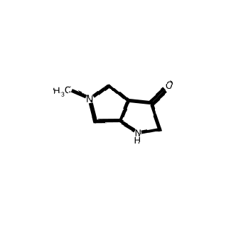 CN1CC2NCC(=O)C2C1